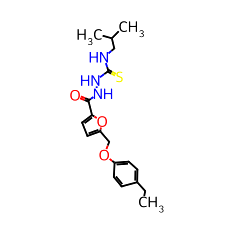 CCc1ccc(OCc2ccc(C(=O)NNC(=S)NCC(C)C)o2)cc1